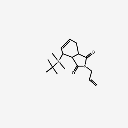 C=CCN1C(=O)C2CC=CC([Si](C)(C)C(C)(C)C)C2C1=O